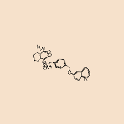 NC(=O)C1CCCCC1C(=O)N(O)c1ccc(COc2ccc3ncccc3c2)cc1